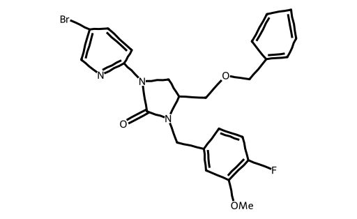 COc1cc(CN2C(=O)N(c3ccc(Br)cn3)CC2COCc2ccccc2)ccc1F